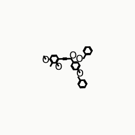 COc1ccc(C#CC(=O)c2ccc(OCc3ccccc3)cc2OCc2ccccc2)c(OC)c1C